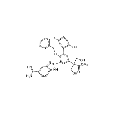 COC(=O)C(CO)(CO)c1cc(-c2nc3cc(C(=N)N)ccc3[nH]2)c(OCc2ccccc2)c(-c2cc(F)ccc2O)c1